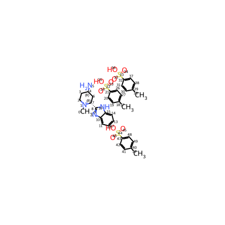 CN1CC[C@@H](N)C[C@@H]1c1nc2ccccc2[nH]1.Cc1ccc(S(=O)(=O)O)cc1.Cc1ccc(S(=O)(=O)O)cc1.Cc1ccc(S(=O)(=O)O)cc1